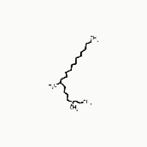 CCCCCCCCCCCCCC(C)CCCCN(C)CCC